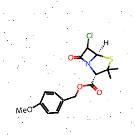 COc1ccc(COC(=O)[C@@H]2N3C(=O)C(Cl)[C@H]3SC2(C)C)cc1